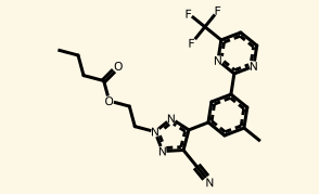 CCCC(=O)OCCn1nc(C#N)c(-c2cc(C)cc(-c3nccc(C(F)(F)F)n3)c2)n1